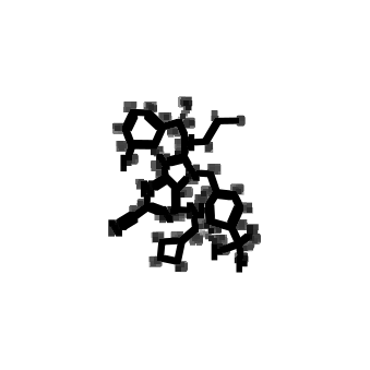 CCCN(c1nc2nc(C#N)nc(N[C@H](C)C3CCC3)c2n1Cc1ccc(C(F)(F)F)cc1)[C@@H](C)c1cccc(F)c1